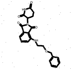 O=C1CCC(N2C(=O)c3cccc(NCCOCc4ccccc4)c3C2=O)C(=O)N1